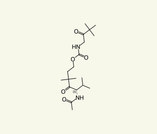 CC(=O)N[C@H](C(=O)C(C)(C)CCOC(=O)NCC(=O)C(C)(C)C)C(C)C